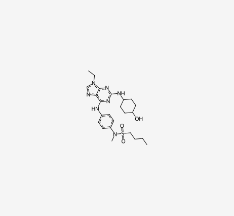 CCCCS(=O)(=O)N(C)c1ccc(Nc2nc(NC3CCC(O)CC3)nc3c2ncn3CC)cc1